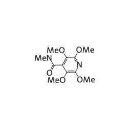 CNC(=O)c1c(OC)c(OC)nc(OC)c1OC